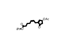 CC(=O)O[C@H]1C=C(C/C=C\CCCC(=O)OC(C)C)C(=O)C1